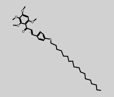 CCCCCCCCCCCCCCCCCCSc1ccc(/C=C/C(=O)c2c(OC)cc(OC)c(OC)c2OC)cc1